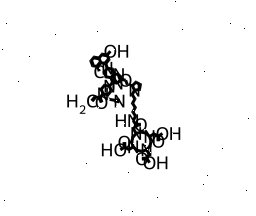 C=CC(=O)N1CCN(c2nc(OC[C@@H]3CCCN3CCCCCCNC(=O)CN3CCN(CC(=O)O)CCN(CC(=O)O)CCN(CC(=O)O)CC3)nc3c2CCN(c2cc(O)cc4cccc(Cl)c24)C3)C[C@@H]1CC#N